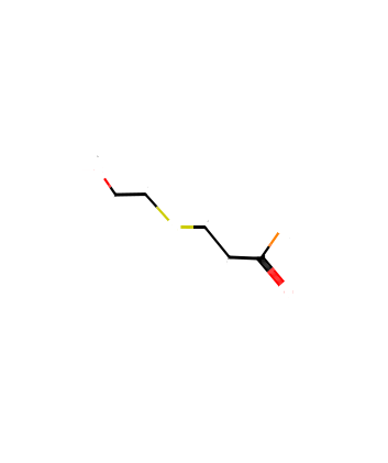 O=C(P)CCSCCO